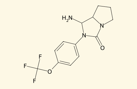 NC1C2CCCN2C(=O)N1c1ccc(OC(F)(F)F)cc1